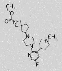 CCOC(=O)N1CC2(CC[C@@H](N3CCN(c4ncc(F)cc4C4CCN(C)CC4)CC3)C2)C1